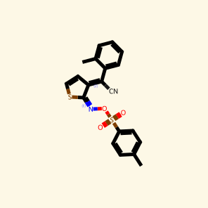 Cc1ccc(S(=O)(=O)O/N=C2/SC=C/C2=C(/C#N)c2ccccc2C)cc1